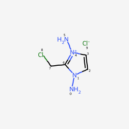 Nn1cc[n+](N)c1CCl.[Cl-]